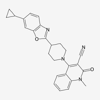 Cn1c(=O)c(C#N)c(N2CCC(c3nc4ccc(C5CC5)cc4o3)CC2)c2ccccc21